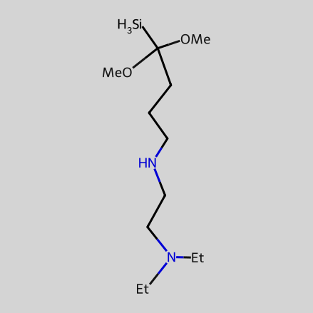 CCN(CC)CCNCCCC([SiH3])(OC)OC